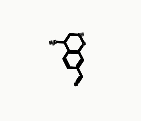 CC1CNOc2cc(C=O)ccc21